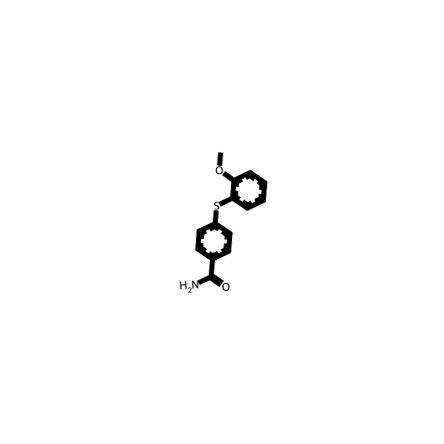 COc1ccccc1Sc1ccc(C(N)=O)cc1